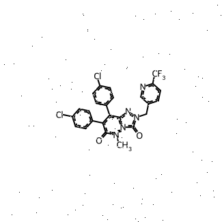 Cn1c(=O)c(-c2ccc(Cl)cc2)c(-c2ccc(Cl)cc2)c2nn(Cc3ccc(C(F)(F)F)nc3)c(=O)n21